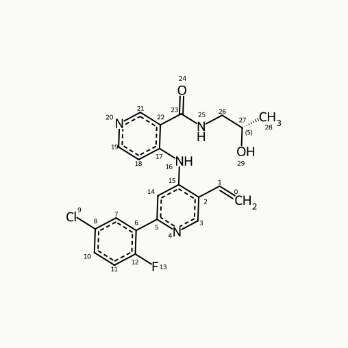 C=Cc1cnc(-c2cc(Cl)ccc2F)cc1Nc1ccncc1C(=O)NC[C@H](C)O